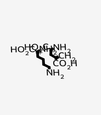 C=C(C[C@H](N)C(=O)O)C(=O)O.NCCCC[C@H](N)C(=O)O